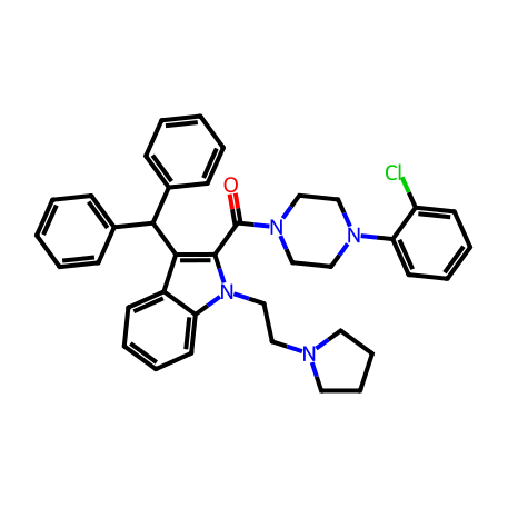 O=C(c1c(C(c2ccccc2)c2ccccc2)c2ccccc2n1CCN1CCCC1)N1CCN(c2ccccc2Cl)CC1